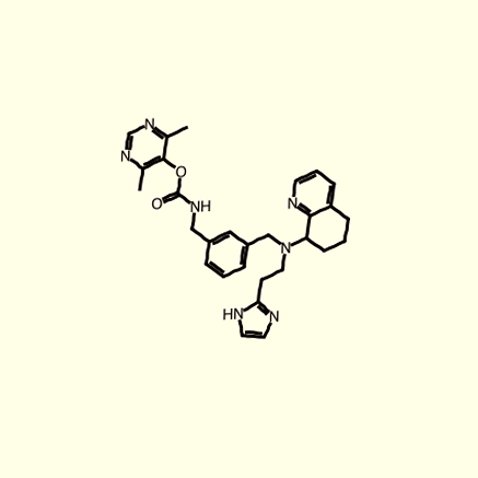 Cc1ncnc(C)c1OC(=O)NCc1cccc(CN(CCc2ncc[nH]2)C2CCCc3cccnc32)c1